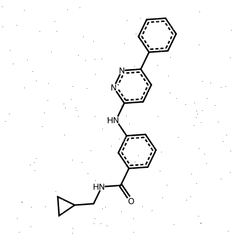 O=C(NCC1CC1)c1cccc(Nc2ccc(-c3ccccc3)nn2)c1